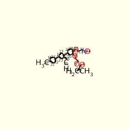 C=C(C)C(=O)OCCOc1cc(-c2ccc(-c3ccc(C)cc3)cc2CC)ccc1OCCN=O